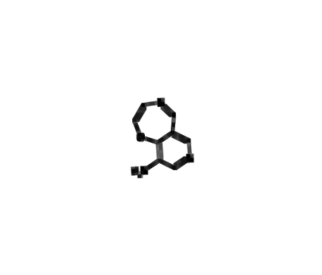 Nc1cncc2c1OC=CN=C2